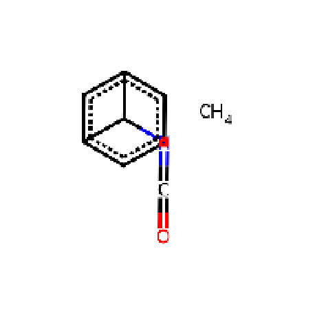 C.O=C=NC1c2cccc1c2